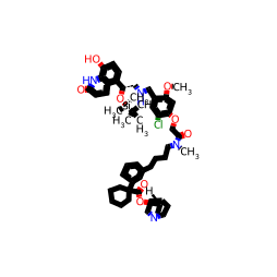 COc1cc(OCC(=O)N(C)CCCCc2cccc(C3(C(=O)O[C@H]4CN5CCC4CC5)CCCCC3)c2)c(Cl)cc1CNC[C@H](O[Si](C)(C)C(C)(C)C)c1ccc(O)c2[nH]c(=O)ccc12